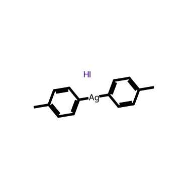 Cc1cc[c]([Ag][c]2ccc(C)cc2)cc1.I